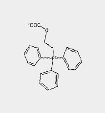 O=C([O-])OCC[P+](c1ccccc1)(c1ccccc1)c1ccccc1